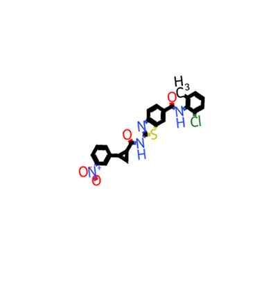 Cc1cccc(Cl)c1NC(=O)c1ccc2nc(NC(=O)C3CC3c3cccc([N+](=O)[O-])c3)sc2c1